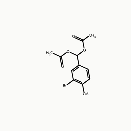 CC(=O)OC(OC(C)=O)c1ccc(O)c(Br)c1